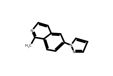 Cc1nccc2cc(-n3cccn3)ccc12